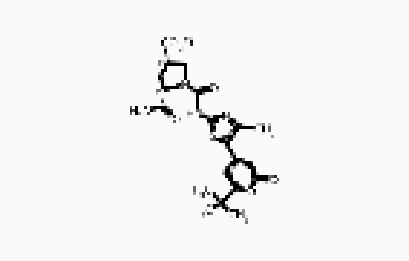 CCOC(=O)[C@@H]1C[C@@H](C(N)=O)N(C(=O)Nc2nc(C)c(-c3cc(C(C)(C)C(F)(F)F)oc(=O)c3)s2)C1